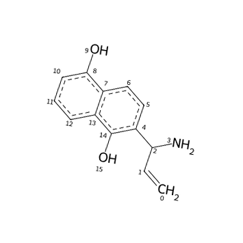 C=CC(N)c1ccc2c(O)cccc2c1O